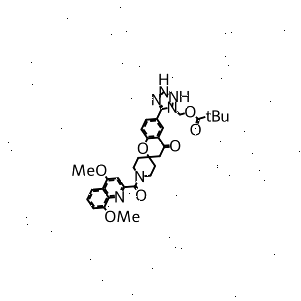 COc1cc(C(=O)N2CCC3(CC2)CC(=O)c2cc(C4=NNNN4COC(=O)C(C)(C)C)ccc2O3)nc2c(OC)cccc12